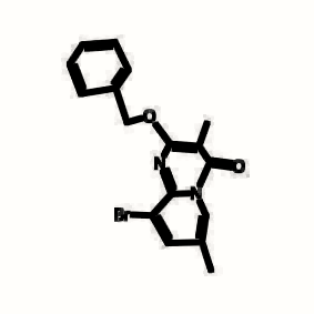 Cc1cc(Br)c2nc(OCc3ccccc3)c(C)c(=O)n2c1